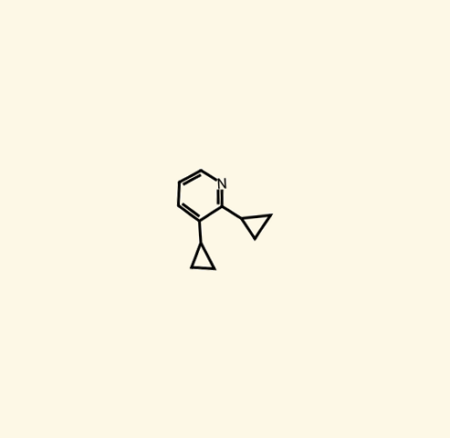 c1cnc(C2CC2)c(C2CC2)c1